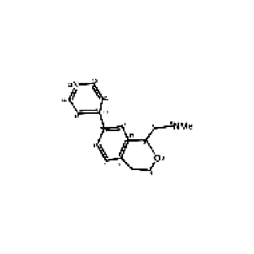 CNCC1OCCc2ccc(-c3ccncc3)cc21